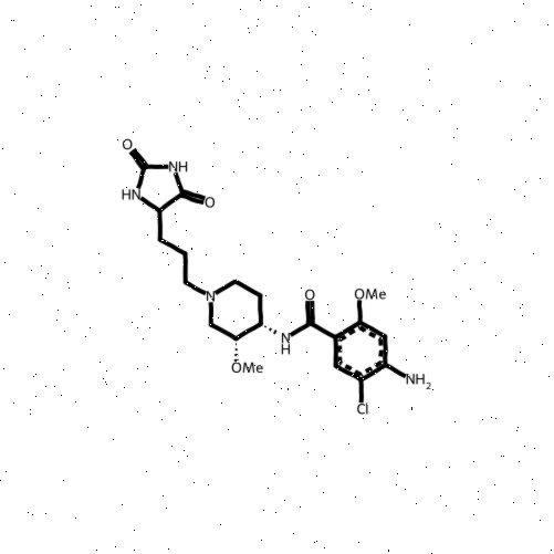 COc1cc(N)c(Cl)cc1C(=O)N[C@H]1CCN(CCCC2NC(=O)NC2=O)C[C@H]1OC